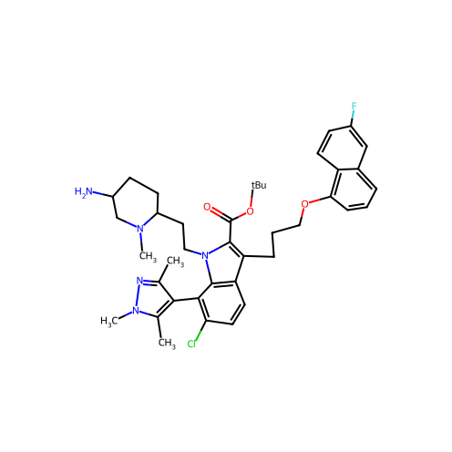 Cc1nn(C)c(C)c1-c1c(Cl)ccc2c(CCCOc3cccc4cc(F)ccc34)c(C(=O)OC(C)(C)C)n(CCC3CCC(N)CN3C)c12